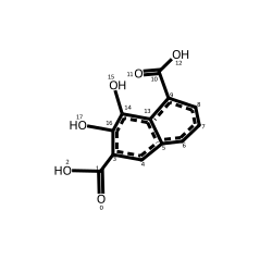 O=C(O)c1cc2cccc(C(=O)O)c2c(O)c1O